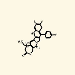 CC[C@@]1(O)CC(=O)OCc2c1cc1n(c2=O)CC2=C1NC1=CC(F)=C(F)CC1=C2c1ccc(F)cc1